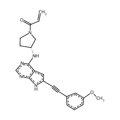 C=CC(=O)N1CC[C@@H](Nc2ncnc3[nH]c(C#Cc4cccc(OC)c4)cc23)C1